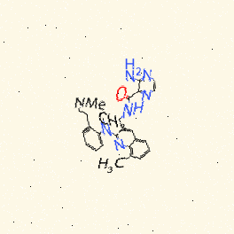 CNCCc1ccccc1N(C)c1nc2c(C)cccc2cc1CNC(=O)c1nccnc1N